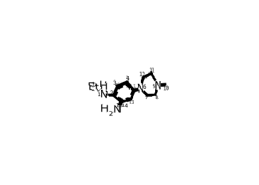 CCNc1ccc(N2CCN(C)CC2)cc1N